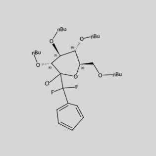 CCCCOC[C@H]1OC(Cl)(C(F)(F)c2ccccc2)[C@H](OCCCC)[C@@H](OCCCC)[C@@H]1OCCCC